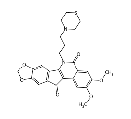 COc1cc2c3c(n(CCCN4CCSCC4)c(=O)c2cc1OC)-c1cc2c(cc1C3=O)OCO2